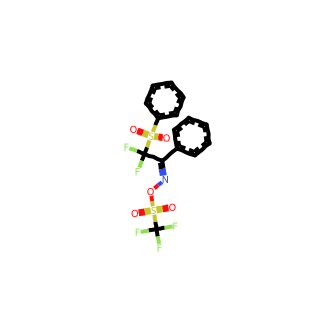 O=S(=O)(ON=C(c1ccccc1)C(F)(F)S(=O)(=O)c1ccccc1)C(F)(F)F